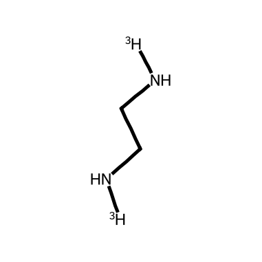 [3H]NCCN[3H]